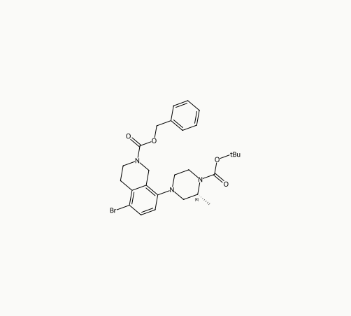 C[C@@H]1CN(c2ccc(Br)c3c2CN(C(=O)OCc2ccccc2)CC3)CCN1C(=O)OC(C)(C)C